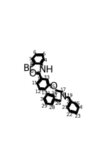 O=C(Nc1ccccc1Br)c1cccc(OCCN(Cc2ccccc2)Cc2ccccc2)c1